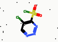 O=S(=O)(Cl)c1nnncc1Cl